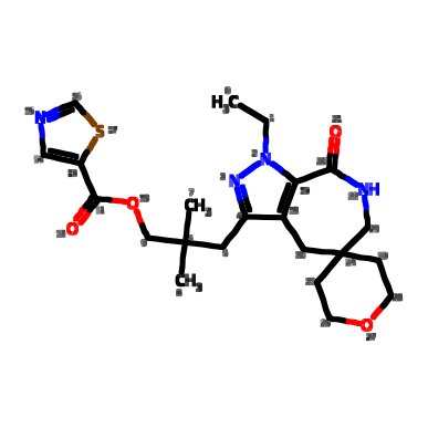 CCn1nc(CC(C)(C)COC(=O)c2cncs2)c2c1C(=O)NCC1(CCOCC1)C2